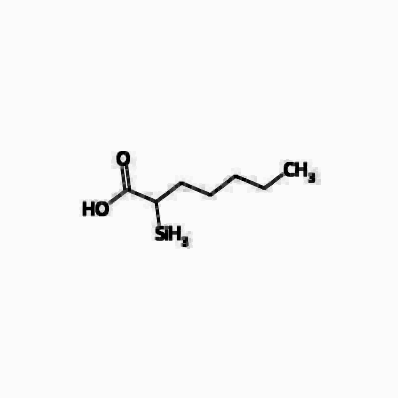 CCCCCC([SiH3])C(=O)O